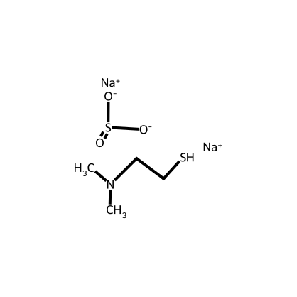 CN(C)CCS.O=S([O-])[O-].[Na+].[Na+]